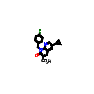 O=C(O)c1cc2cc(C3CC3)cnc2n(Cc2ccc(F)cc2)c1=O